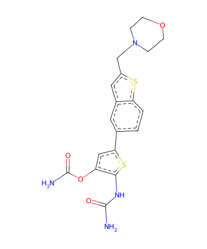 NC(=O)Nc1sc(-c2ccc3sc(CN4CCOCC4)cc3c2)cc1OC(N)=O